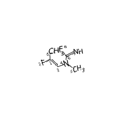 C/C(F)=C\N(C)C(=N)F